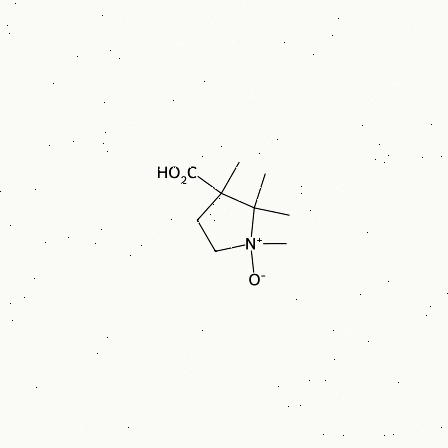 CC1(C(=O)O)CC[N+](C)([O-])C1(C)C